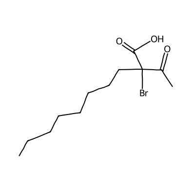 CCCCCCCCC(Br)(C(C)=O)C(=O)O